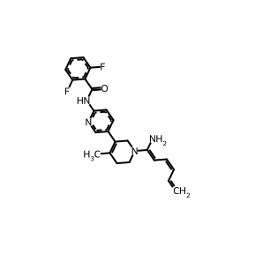 C=C/C=C\C=C(/N)N1CCC(C)=C(c2ccc(NC(=O)c3c(F)cccc3F)nc2)C1